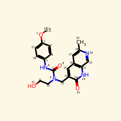 CCOc1ccc(NC(=O)N(CCO)Cc2cc3cc(C)ncc3[nH]c2=O)cc1